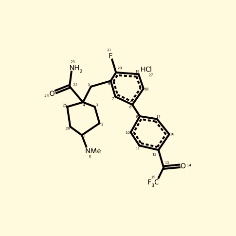 CNC1CCC(Cc2cc(-c3ccc(C(=O)C(F)(F)F)cc3)ccc2F)(C(N)=O)CC1.Cl